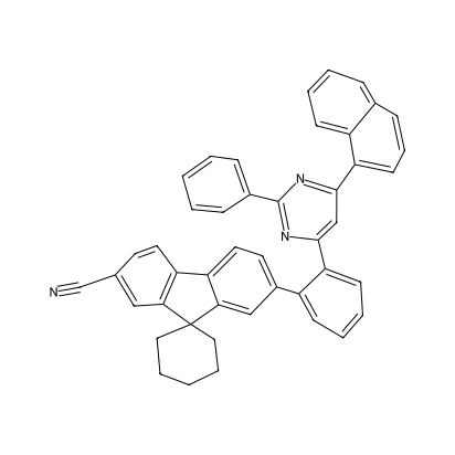 N#Cc1ccc2c(c1)C1(CCCCC1)c1cc(-c3ccccc3-c3cc(-c4cccc5ccccc45)nc(-c4ccccc4)n3)ccc1-2